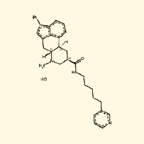 CC(C)n1cc2c3c(cccc31)[C@H]1C[C@@H](C(=O)NCCCCCc3cccnc3)CN(C)[C@@H]1C2.Cl